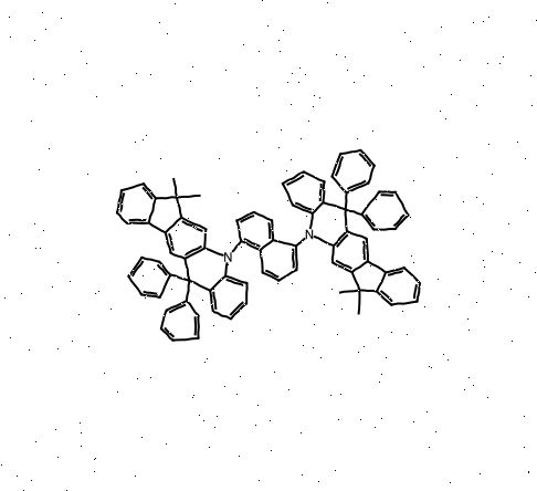 CC1(C)c2ccccc2-c2cc3c(cc21)N(c1cccc2c(N4c5ccccc5C(c5ccccc5)(c5ccccc5)c5cc6c(cc54)C(C)(C)c4ccccc4-6)cccc12)c1ccccc1C3(c1ccccc1)c1ccccc1